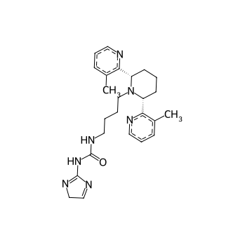 Cc1cccnc1[C@H]1CCC[C@@H](c2ncccc2C)N1CCCCNC(=O)NC1=NCC=N1